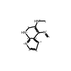 C=NC1=C(NC)CNc2ncccc21